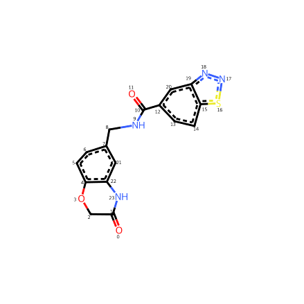 O=C1COc2ccc(CNC(=O)c3ccc4snnc4c3)cc2N1